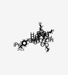 C=CCOC(=O)C(O)[C@@H]1O[C@@](O)(OC(=O)NOCc2ccc(C(C)(C)C(C)C)cc2)[C@](O)(F)[C@@](O)(C(=O)OCC=C)[C@]1(O)C(=O)OCC=C